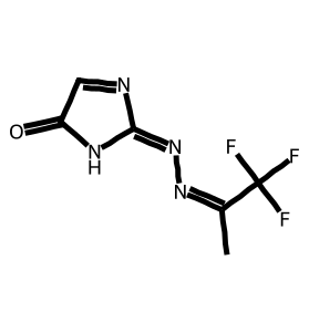 CC(=NN=C1N=CC(=O)N1)C(F)(F)F